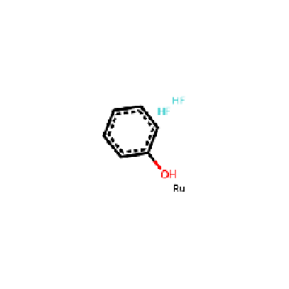 F.F.Oc1ccccc1.[Ru]